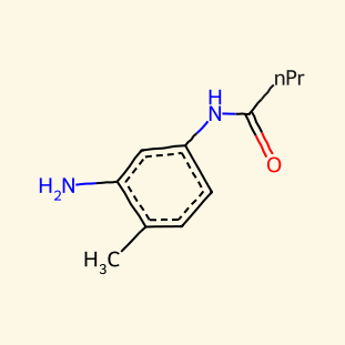 CCCC(=O)Nc1ccc(C)c(N)c1